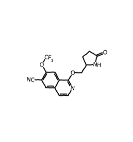 N#Cc1cc2ccnc(OCC3CCC(=O)N3)c2cc1OC(F)(F)F